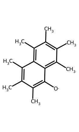 Cc1c(C)c(C)c2c([O])c(C)c(C)c(C)c2c1C